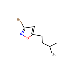 CC(CCc1cc(Br)no1)C(C)(C)C